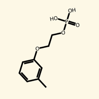 Cc1cccc(OCCOP(=O)(O)O)c1